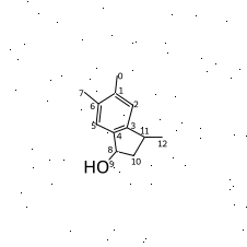 Cc1cc2c(cc1C)C(O)CC2C